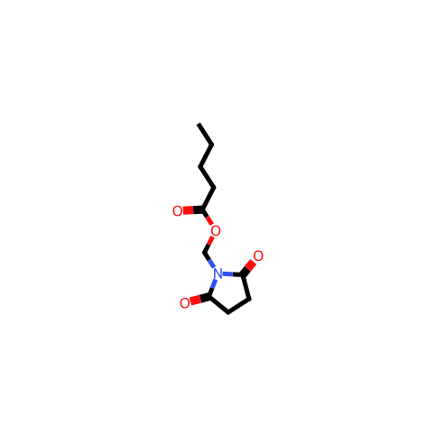 CCCCC(=O)OCN1C(=O)CCC1=O